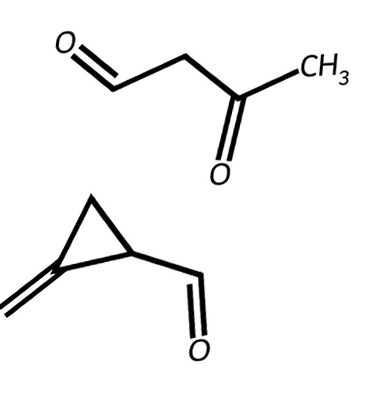 CC(=O)CC=O.O=CC1CC1=O